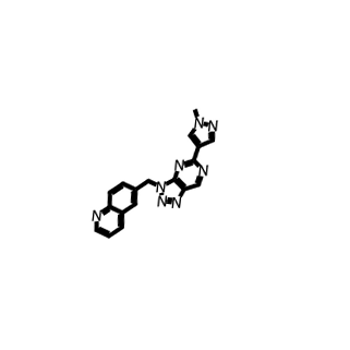 Cn1cc(-c2ncc3nnn(Cc4ccc5ncccc5c4)c3n2)cn1